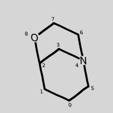 C1CC2CN(C1)CCO2